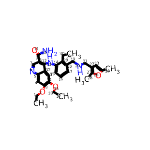 CCOc1cc2ncc(C(N)=O)c(Nc3cccc(CNCc4cc(C)oc4C)c3CC)c2cc1OCC